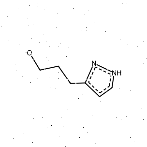 [O]CCCc1cc[nH]n1